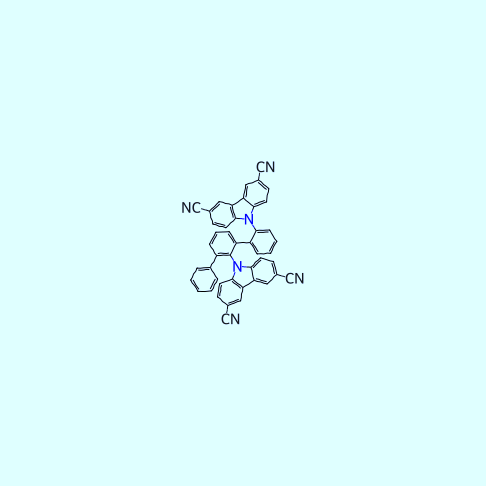 N#Cc1ccc2c(c1)c1cc(C#N)ccc1n2-c1ccccc1-c1cccc(-c2ccccc2)c1-n1c2ccc(C#N)cc2c2cc(C#N)ccc21